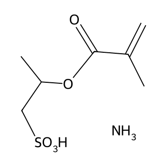 C=C(C)C(=O)OC(C)CS(=O)(=O)O.N